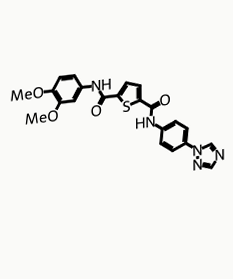 COc1ccc(NC(=O)c2ccc(C(=O)Nc3ccc(-n4cncn4)cc3)s2)cc1OC